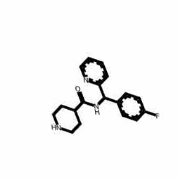 O=C(NC(c1ccc(F)cc1)c1ccccn1)C1CCNCC1